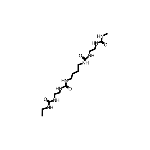 CCNC(=O)NCCNC(=O)NCCCCNC(=O)NCCNC(=O)NC